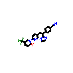 N#Cc1ccc(C(Cc2ccc(-n3cc(C(F)(F)F)ccc3=O)nc2)c2ncc[nH]2)cc1